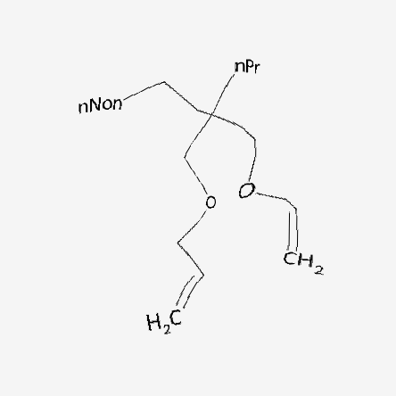 C=CCOCC(CCC)(CCCCCCCCCC)COC=C